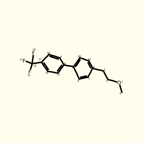 COCCc1ccc(-c2ccc(C(F)(F)F)cc2)cc1